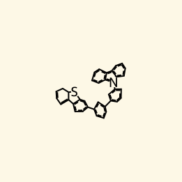 C1=CCC2Sc3cc(-c4cccc(-c5cccc(-n6c7ccccc7c7ccccc76)c5)c4)ccc3C2=C1